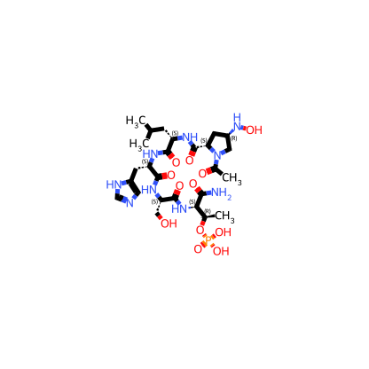 CC(=O)N1C[C@H](NO)C[C@H]1C(=O)N[C@@H](CC(C)C)C(=O)N[C@@H](Cc1cnc[nH]1)C(=O)N[C@@H](CO)C(=O)N[C@H](C(N)=O)[C@@H](C)OP(=O)(O)O